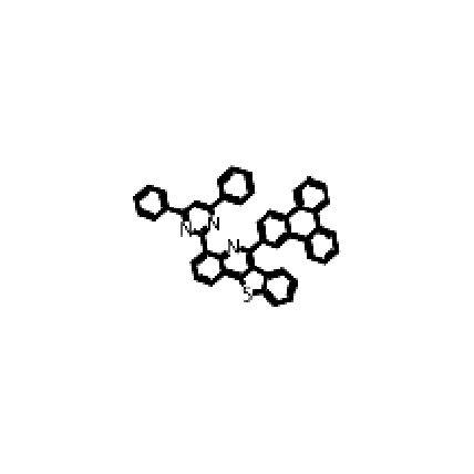 c1ccc(-c2cc(-c3ccccc3)nc(-c3cccc4c3nc(-c3ccc5c6ccccc6c6ccccc6c5c3)c3c5ccccc5sc43)n2)cc1